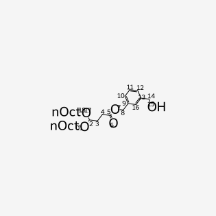 CCCCCCCCOC(CCC(=O)OCc1cccc(CO)c1)OCCCCCCCC